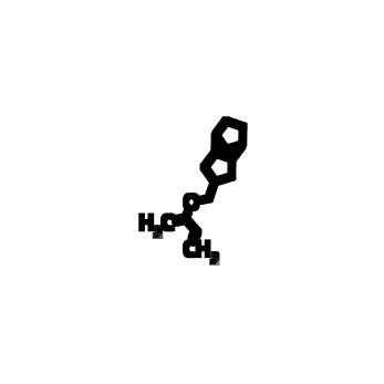 C=CC(=C)OCC1CC2C3CCC(C3)C2C1